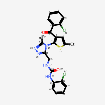 CCc1cc(C(=O)c2ccccc2Cl)c(-n2c(CNC(=O)Nc3ccccc3Cl)nnc2C(C)C)s1